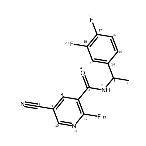 CC(NC(=O)c1cc(C#N)cnc1F)c1ccc(F)c(F)c1